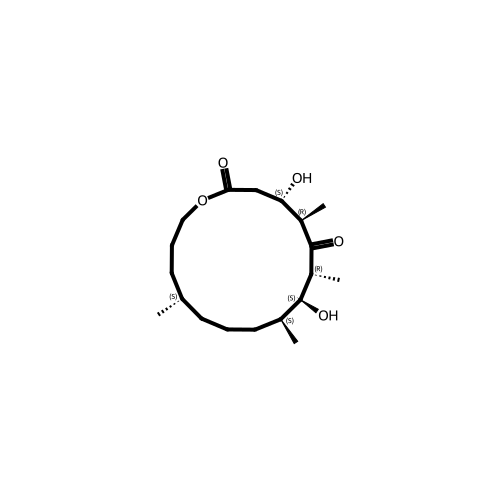 C[C@@H]1CCCOC(=O)C[C@H](O)[C@@H](C)C(=O)[C@H](C)[C@@H](O)[C@@H](C)CCC1